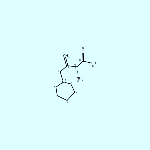 C=C(CN1CCCCC1)[C@@H](N)C(=O)O